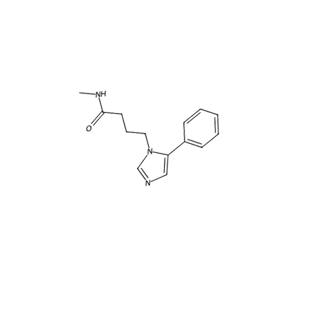 CNC(=O)CCCn1cncc1-c1ccccc1